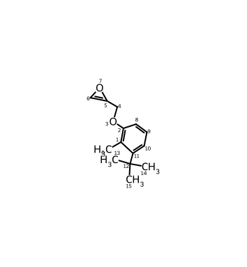 Cc1c(OCC2=CO2)cccc1C(C)(C)C